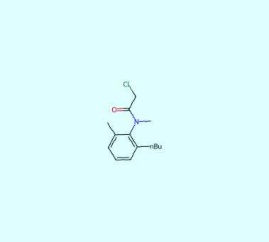 CCCCc1cccc(C)c1N(C)C(=O)CCl